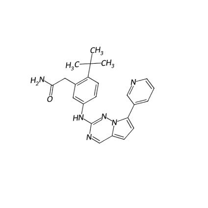 CC(C)(C)c1ccc(Nc2ncc3ccc(-c4cccnc4)n3n2)cc1CC(N)=O